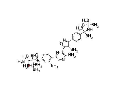 Bc1cc(S(=O)(=O)C(B)(C(B)(B)B)C(B)(B)B)ccc1-c1cnc(N)c(-c2onc(-c3ccc(C(B)(B)NC(B)(B)B)cc3)c2B)n1